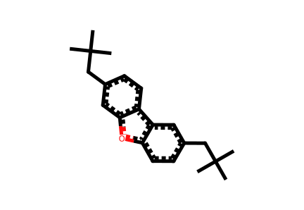 CC(C)(C)Cc1ccc2c(c1)oc1ccc(CC(C)(C)C)cc12